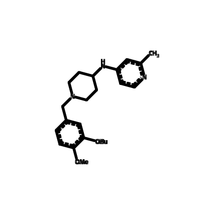 COc1ccc(CN2CCC(Nc3ccnc(C)c3)CC2)cc1OCC(C)C